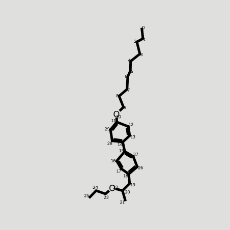 CCCCCCCCCCOc1ccc(-c2ccc(CC(C)OCCC)cc2)cc1